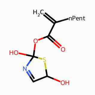 C=C(CCCCC)C(=O)OC1(O)N=CC(O)S1